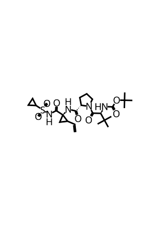 C=CC1C[C@]1(NC(=O)[C@@H]1CCCN1C(=O)[C@@H](NC(=O)OC(C)(C)C)C(C)(C)C)C(=O)NS(=O)(=O)C1CC1